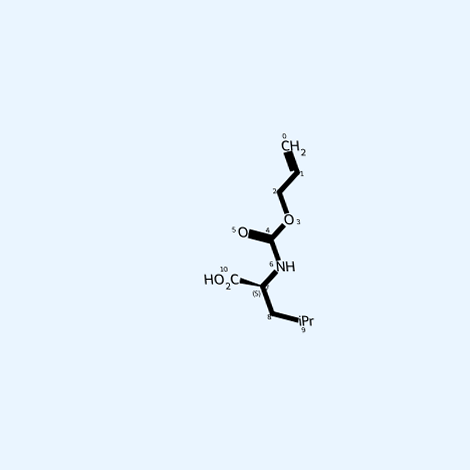 C=CCOC(=O)N[C@@H](CC(C)C)C(=O)O